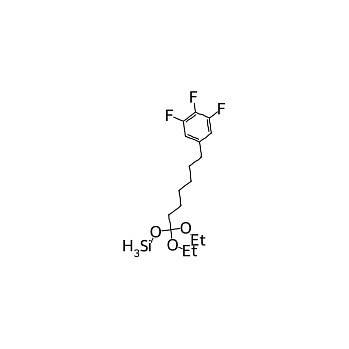 CCOC(CCCCCCc1cc(F)c(F)c(F)c1)(O[SiH3])OCC